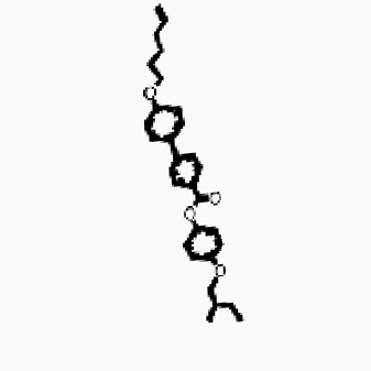 C=CCCCCOc1ccc(-c2ccc(C(=O)Oc3ccc(OCC(C)CC)cc3)cc2)cc1